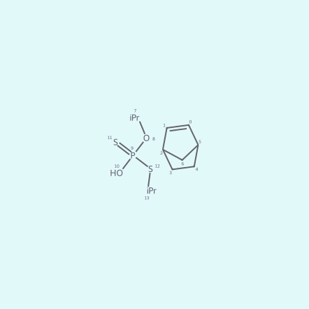 C1=CC2CCC1C2.CC(C)OP(O)(=S)SC(C)C